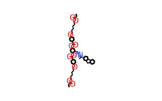 C=CC(=O)OCCCCCCOc1ccc(C(=O)Oc2ccc(OC(=O)c3ccc(OCCCCCCOC(=O)C=C)cc3)c(/C=N/N=C(\C)c3ccc4c(c3)Cc3ccccc3-4)c2)cc1